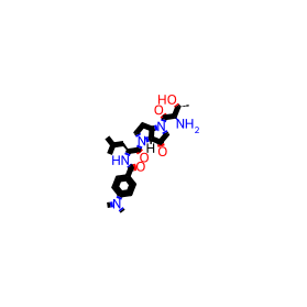 CC(C)C[C@H](NC(=O)c1ccc(N(C)C)cc1)C(=O)N1CCC2[C@H]1C(=O)CN2C(=O)[C@@H](N)[C@@H](C)O